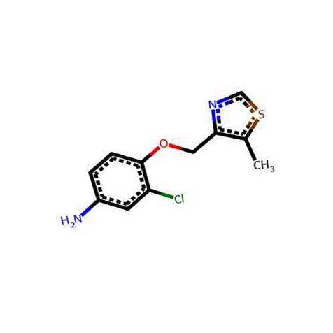 Cc1scnc1COc1ccc(N)cc1Cl